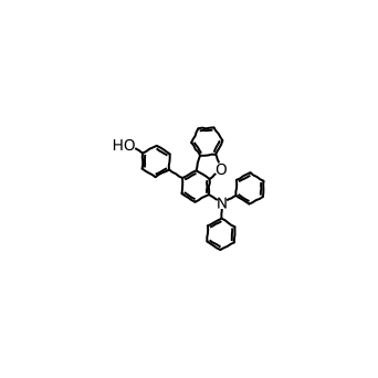 Oc1ccc(-c2ccc(N(c3ccccc3)c3ccccc3)c3oc4ccccc4c23)cc1